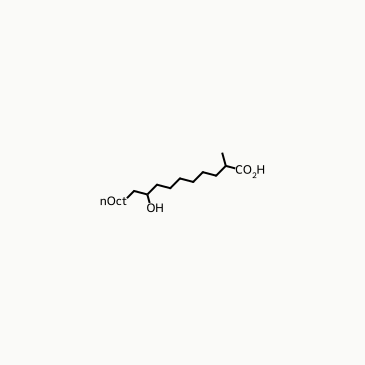 CCCCCCCCCC(O)CCCCCCC(C)C(=O)O